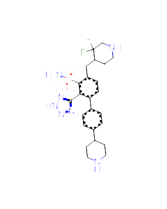 NS(=O)(=O)c1c(CC2CCNCC2(F)F)ccc(-c2ccc(C3CCNCC3)cc2)c1-c1nn[nH]n1